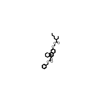 CCCCC(CC)C(=O)OCOc1ccc2c(c1)[C@@]13CCCC[C@H]1[C@@H](C2)N(C(=O)OCc1ccccc1)CC3